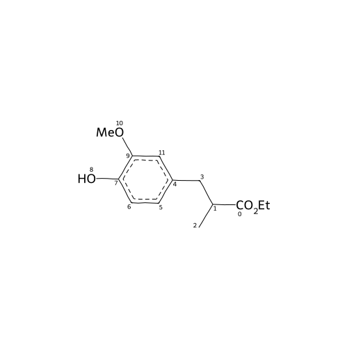 CCOC(=O)C(C)Cc1ccc(O)c(OC)c1